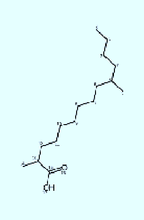 CCCCC(C)CCCCCCCC(C)C(=O)O